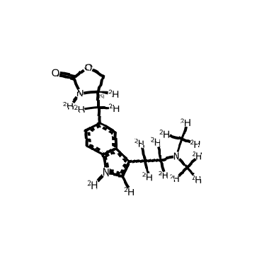 [2H]c1c(C([2H])([2H])C([2H])([2H])N(C([2H])([2H])[2H])C([2H])([2H])[2H])c2cc(C([2H])([2H])[C@@]3([2H])COC(=O)N3[2H])ccc2n1[2H]